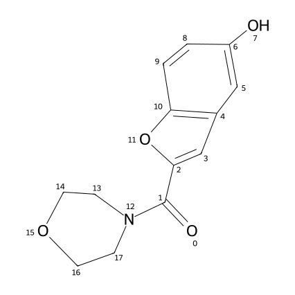 O=C(c1cc2cc(O)ccc2o1)N1CCOCC1